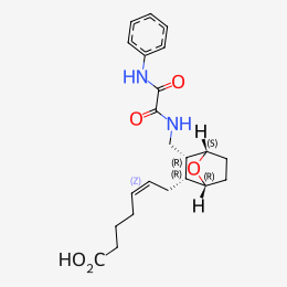 O=C(O)CCC/C=C\C[C@@H]1[C@H](CNC(=O)C(=O)Nc2ccccc2)[C@@H]2CC[C@H]1O2